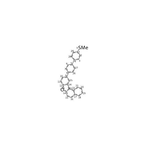 CSc1ccc(-c2ccc(-c3ccc4oc5ccc6ccccc6c5c4c3)cc2)cc1